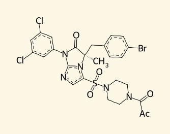 CC(=O)C(=O)N1CCN(S(=O)(=O)c2cnc3n2[C@](C)(Cc2ccc(Br)cc2)C(=O)N3c2cc(Cl)cc(Cl)c2)CC1